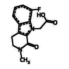 CN1CCc2c(n(CC(=O)O)c3c(F)cccc23)C1=O